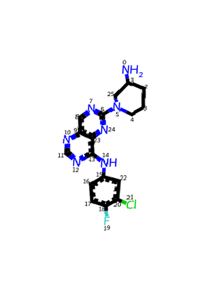 NC1CCCN(c2ncc3ncnc(Nc4ccc(F)c(Cl)c4)c3n2)C1